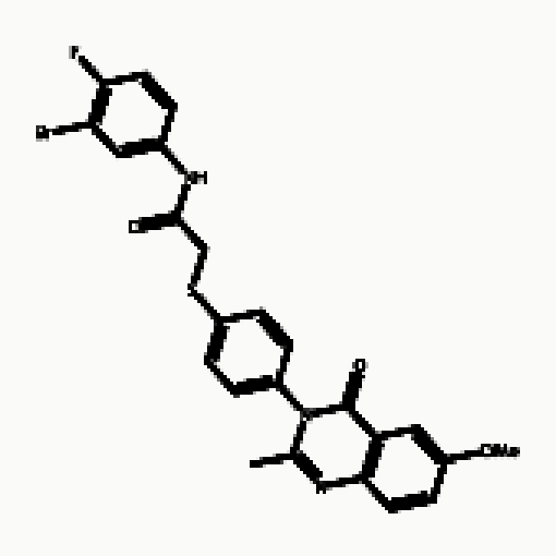 COc1ccc2nc(C)n(-c3ccc(SCC(=O)Nc4ccc(F)c(Br)c4)cc3)c(=O)c2c1